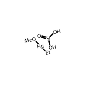 C[CH2][Hg][O]C.O=[Si](O)O